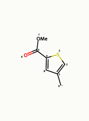 [CH2]c1csc(C(=O)OC)c1